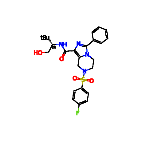 CC(C)(C)[C@@H](CO)NC(=O)c1nc(-c2ccccc2)n2c1CN(S(=O)(=O)c1ccc(F)cc1)CC2